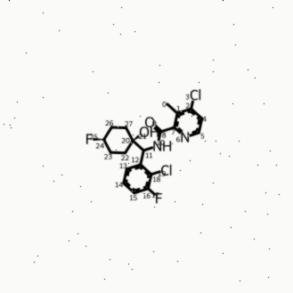 Cc1c(Cl)ccnc1C(=O)NC(c1cccc(F)c1Cl)[C@]1(O)CC[C@@H](F)CC1